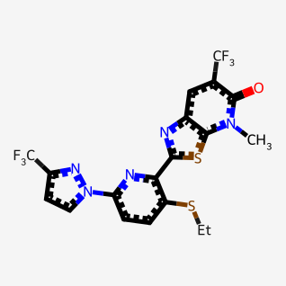 CCSc1ccc(-n2ccc(C(F)(F)F)n2)nc1-c1nc2cc(C(F)(F)F)c(=O)n(C)c2s1